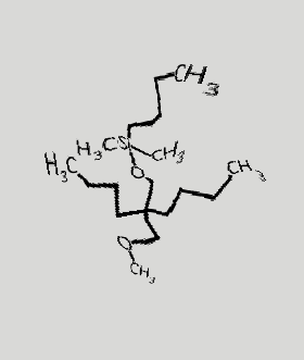 CCCCC(CCCC)(COC)CO[Si](C)(C)CCCC